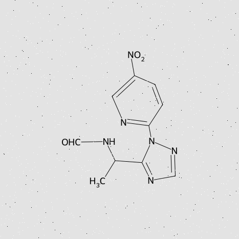 CC(NC=O)c1ncnn1-c1ccc([N+](=O)[O-])cn1